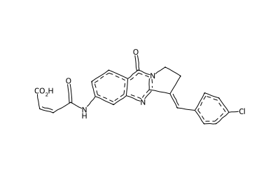 O=C(O)/C=C\C(=O)Nc1ccc2c(=O)n3c(nc2c1)C(=Cc1ccc(Cl)cc1)CC3